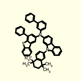 CC1(C)CCC(C)(C)c2cc(-n3c4ccccc4c4ccc(N(c5cccc(-c6ccccc6)c5)c5cc(-c6ccccc6)c6sc7ccccc7c6c5)cc43)ccc21